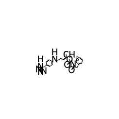 CC(=CCCNc1ccc(-c2nnn[nH]2)cc1)OC(=O)N1C(=O)Cc2ccccc21